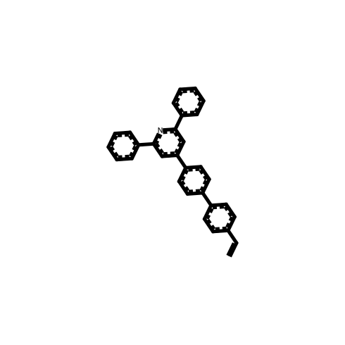 C=Cc1ccc(-c2ccc(-c3cc(-c4ccccc4)nc(-c4ccccc4)c3)cc2)cc1